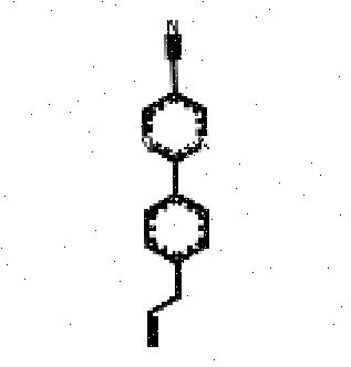 C=CCc1ccc(-c2ncc(C#N)cn2)cc1